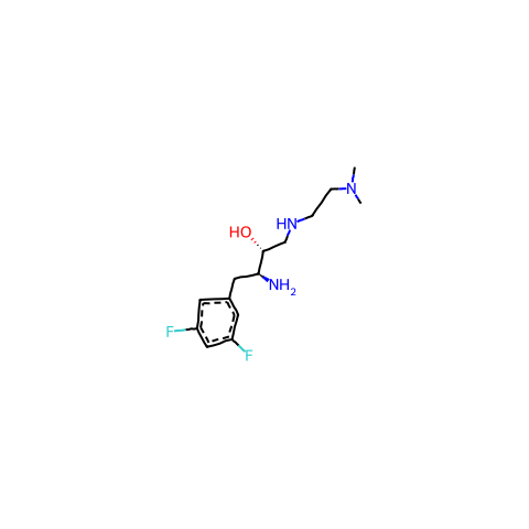 CN(C)CCNC[C@@H](O)[C@@H](N)Cc1cc(F)cc(F)c1